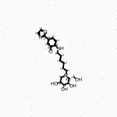 OC[C@@H]1[C@@H](O)[C@H](O)[C@@H](O)CN1CCCCCCNc1ccc(-c2ncco2)cc1Cl